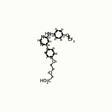 O=C(O)COCCOc1ccc(-c2cc(Nc3ccc(OC(F)(F)F)cc3)ncn2)cc1